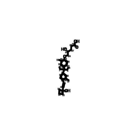 CCC(CC)(c1ccc(C#CC2(O)CCC2)c(C)c1)c1ccc(OC[C@@H](O)CCC(=O)O)c(C)c1